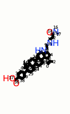 C=C(C)[C@@H]1CC[C@]2(NCCNCCC(=O)N(C)C)CC[C@]3(C)[C@H](CC[C@@H]4[C@@]5(C)CC=C(c6ccc(C(=O)O)cc6)C(C)(C)[C@@H]5CC[C@]43C)C12